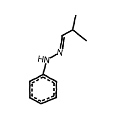 CC(C)/C=N/Nc1ccccc1